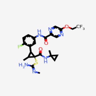 C/N=C(/N)S[C@@]1(C(=O)NC2(C)CC2)C(C)C1c1cc(NC(=O)c2cnc(OCC(F)(F)F)cn2)ccc1F